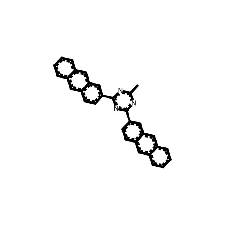 Cc1nc(-c2ccc3cc4ccccc4cc3c2)nc(-c2ccc3cc4ccccc4cc3c2)n1